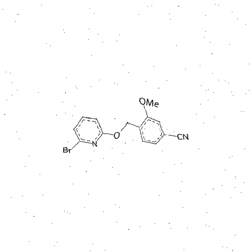 COc1cc(C#N)ccc1COc1cccc(Br)n1